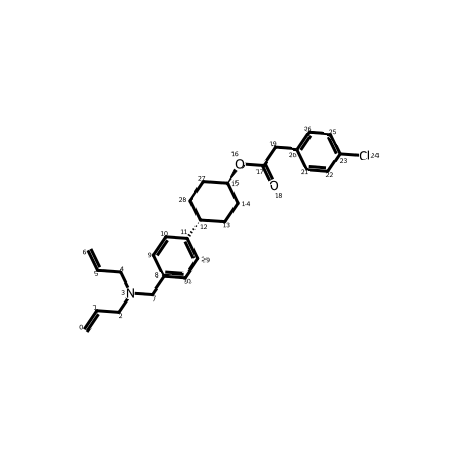 C=CCN(CC=C)Cc1ccc([C@H]2CC[C@H](OC(=O)Cc3ccc(Cl)cc3)CC2)cc1